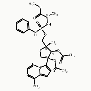 COC(=O)[C@H](C)NP(=O)(Nc1ccccc1)OC[C@@]1(C)OC[C@@](OC(C)=O)(c2ccc3c(N)ncnn23)[C@@H]1OC(C)=O